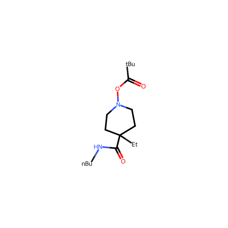 CCCCNC(=O)C1(CC)CCN(OC(=O)C(C)(C)C)CC1